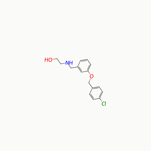 OCCNCc1cccc(OCc2ccc(Cl)cc2)c1